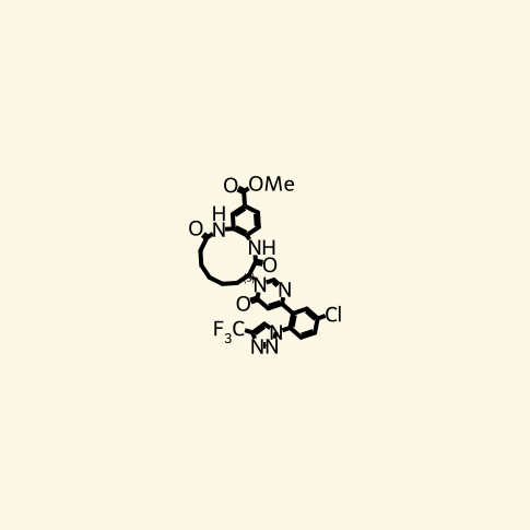 COC(=O)c1ccc2c(c1)NC(=O)CCCCC[C@H](n1cnc(-c3cc(Cl)ccc3-n3cc(C(F)(F)F)nn3)cc1=O)C(=O)N2